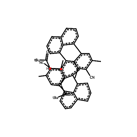 Cc1cc(-c2cccc3cccc(-c4ccc(-c5cccc6cccc(-c7cc(C)c(C#N)c(C)c7)c56)c(NC(=O)C(C)(C)C)c4NC(=O)C(C)(C)C)c23)cc(C)c1C#N